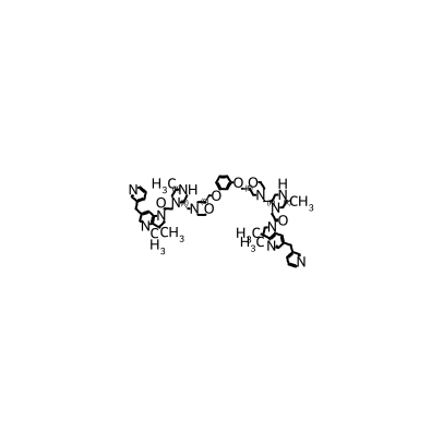 C[C@@H]1CN(CC(=O)N2CC(C)(C)c3ncc(Cc4cccnc4)cc32)[C@@H](CN2CCO[C@H](COc3cccc(OC[C@@H]4CN(C[C@H]5CN[C@H](C)CN5CC(=O)N5CC(C)(C)c6ncc(Cc7cccnc7)cc65)CCO4)c3)C2)CN1